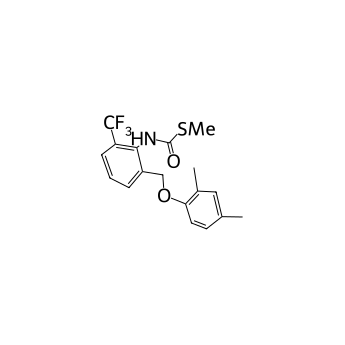 CSC(=O)Nc1c(COc2ccc(C)cc2C)cccc1C(F)(F)F